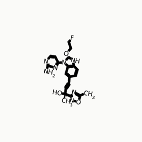 Cc1nc([C@](C)(O)C#Cc2ccc3c(c2)N(c2ccnc(N)n2)C(OCCF)N3)no1